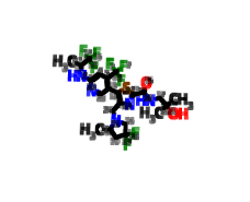 C[C@H](Nc1cc(C(F)(F)F)c(-c2sc(C(=O)NCC(C)(C)O)nc2CN2CC(F)(F)C[C@@H]2C)cn1)C(F)(F)F